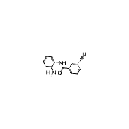 N#Cc1cccc(C(=O)Nc2ccccc2N)c1